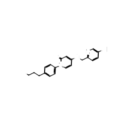 O=c1cc(OCc2ccc(Cl)cn2)ccn1-c1ccc(CCCO)cc1